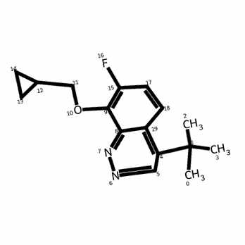 CC(C)(C)c1cnnc2c(OCC3CC3)c(F)ccc12